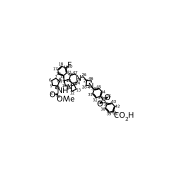 COC(=O)N[C@H]1CCC[C@@H]1C(CN1CCC1)(c1cccc(F)c1)C1CCN(CC2CN(c3ccc(S(=O)(=O)c4ccc(C(=O)O)cc4)cc3)C2)CC1